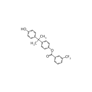 CC(C)(c1ccc(O)cc1)c1ccc(OC(=O)c2cccc(C(F)(F)F)c2)cc1